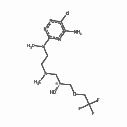 CN(CCN(C)c1nnc(Cl)c(N)n1)C[C@@H](O)COCC(F)(F)F